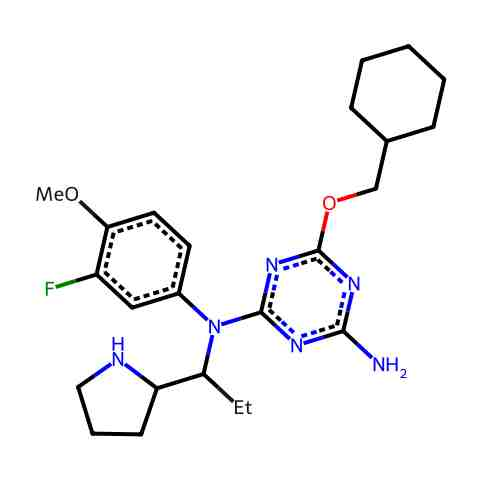 CCC(C1CCCN1)N(c1ccc(OC)c(F)c1)c1nc(N)nc(OCC2CCCCC2)n1